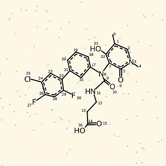 Cc1cn(C)c(=O)c(N(C(=O)NCCC(=O)O)c2cccc(-c3cc(Cl)c(F)cc3F)c2)c1O